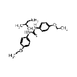 CC(C)[CH2][AlH2].CCOc1ccc(NC(=S)Nc2ccc(OCC)cc2)cc1